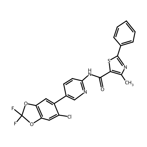 Cc1nc(-c2ccccc2)sc1C(=O)Nc1ccc(-c2cc3c(cc2Cl)OC(F)(F)O3)cn1